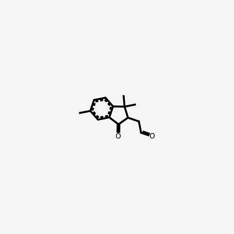 Cc1ccc2c(c1)C(=O)C(CC=O)C2(C)C